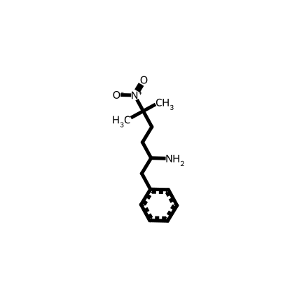 CC(C)(CCC(N)Cc1ccccc1)[N+](=O)[O-]